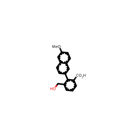 COc1ccc2cc(-c3c(CO)cccc3C(=O)O)ccc2c1